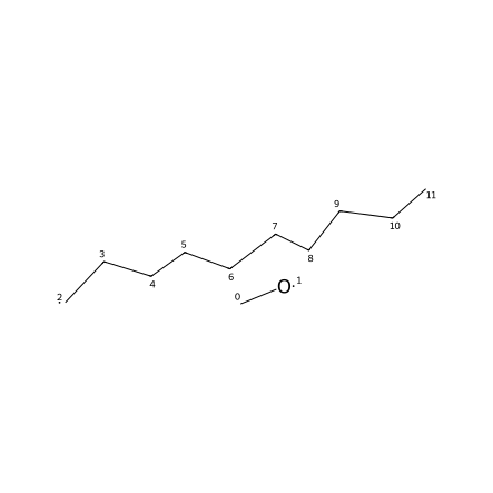 C[O].[CH2]CCCCCCCCC